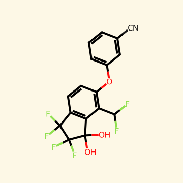 N#Cc1cccc(Oc2ccc3c(c2C(F)F)C(O)(O)C(F)(F)C3(F)F)c1